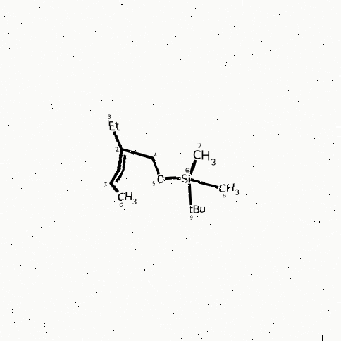 CC=C(CC)CO[Si](C)(C)C(C)(C)C